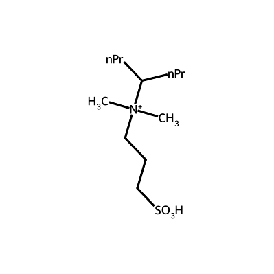 CCCC(CCC)[N+](C)(C)CCCS(=O)(=O)O